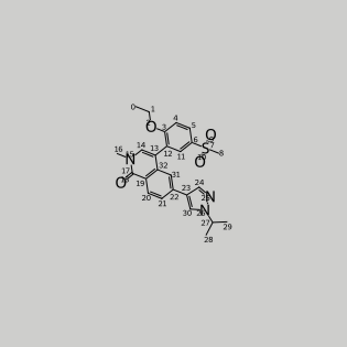 CCOc1ccc(S(C)(=O)=O)cc1-c1cn(C)c(=O)c2ccc(-c3cnn(C(C)C)c3)cc12